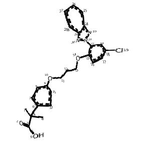 CC(C)(C(=O)O)c1ccc(OCCCOc2ccc(Cl)cc2-n2nc3ccccc3n2)cc1